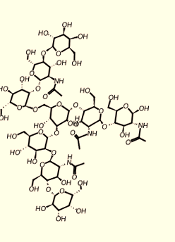 CC(=O)N[C@@H]1[C@@H](O)[C@H](O[C@@H]2O[C@H](CO)[C@@H](O[C@H]3O[C@H](CO[C@H]4O[C@H](CO)[C@@H](O)[C@H](O)[C@@H]4O[C@@H]4O[C@H](CO)[C@@H](O[C@@H]5O[C@H](CO)[C@H](O)[C@H](O)[C@H]5O)[C@H](O)[C@H]4NC(C)=O)[C@@H](O)[C@H](O[C@H]4O[C@H](CO)[C@@H](O)[C@H](O)[C@@H]4O[C@@H]4O[C@H](CO)[C@@H](O[C@@H]5O[C@H](CO)[C@H](O)[C@H](O)[C@H]5O)[C@H](O)[C@H]4NC(C)=O)[C@@H]3O)[C@H](O)[C@H]2NC(C)=O)[C@@H](CO)O[C@H]1O